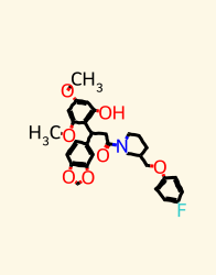 COc1cc(O)c(C(CC(=O)N2CCCC(COc3ccc(F)cc3)C2)c2ccc3c(c2)OCO3)c(OC)c1